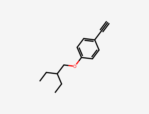 C#Cc1ccc(OC[C](CC)CC)cc1